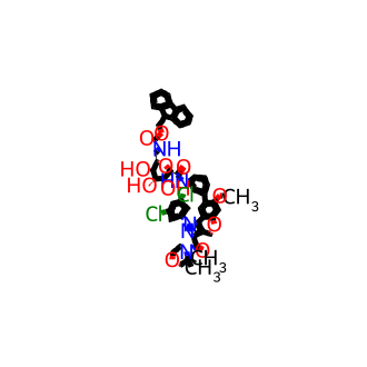 COc1cc2c(cc1-c1cccc(NC(=O)[C@H]3O[C@@H](CNC(=O)OCC4c5ccccc5-c5ccccc54)[C@H](O)[C@@H](O)[C@H]3O)c1)-c1c(c(C(=O)N3CCOCC3(C)C)nn1-c1cc(Cl)cc(Cl)c1)CO2